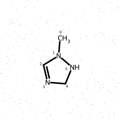 CN1C=NCN1